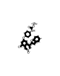 CC(C)(C)OC(=O)N[C@H]1CC[C@H](Oc2cc(Cl)c3c[n+]([O-])cc(-c4cc5ccccc5o4)c3c2)CC1